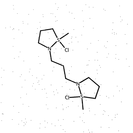 CS1(Cl)CCCN1CCCN1CCCS1(C)Cl